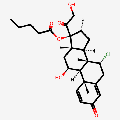 CCCCC(=O)O[C@@]1(C(=O)CO)[C@H](C)C[C@H]2[C@H]3[C@H]([C@@H](O)C[C@@]21C)[C@@]1(C)C=CC(=O)C=C1C[C@H]3Cl